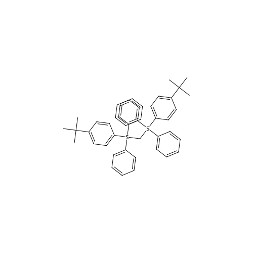 CC(C)(C)c1ccc(S(CS(c2ccccc2)(c2ccccc2)c2ccc(C(C)(C)C)cc2)(c2ccccc2)c2ccccc2)cc1